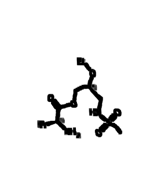 CCO[C@@H](CNS(C)(=O)=O)COC(=O)[C@@H](N)C(C)C